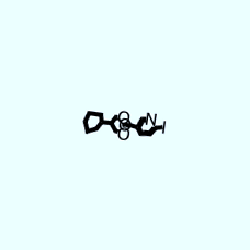 Ic1ccc(C23OCC(C4CCCCC4)(CO2)CO3)cn1